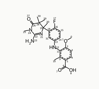 COc1ccc(C(=O)O)c(C)c1Nc1ccc(F)c(C2(C)N=C(N)N(C)C(=O)C2(C)C)c1